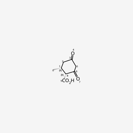 C[C@@H]1CC(=O)CC(=O)[C@@H]1C(=O)O